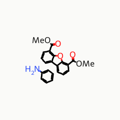 COC(=O)c1cccc2c1oc1c(C(=O)OC)cccc12.Nc1ccccc1